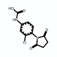 O=C(O)Nc1ccc(N2C(=O)CCC2=O)c(Cl)c1